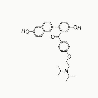 CC(C)N(CCOc1ccc(C(=O)c2cc(O)ccc2-c2ccc3cc(O)ccc3c2)cc1)C(C)C